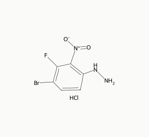 Cl.NNc1ccc(Br)c(F)c1[N+](=O)[O-]